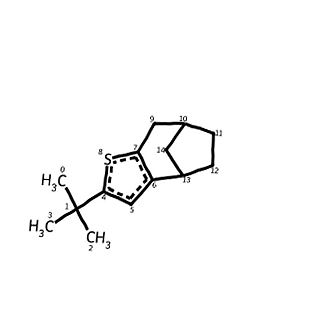 CC(C)(C)c1cc2c(s1)CC1CCC2C1